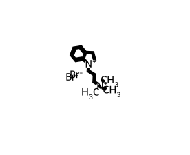 C[N+](C)(C)CCC[N+]1=CCc2ccccc21.[Br-].[Br-]